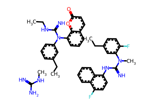 CCNC(=N)N(c1cccc(CC)c1)c1cccc2ccc(=O)oc12.CCc1ccc(F)c(N(C)C(=N)Nc2ccc(F)c3ccccc23)c1.CNC(=N)N